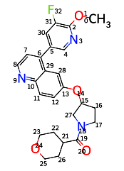 COc1ncc(-c2ccnc3ccc(OC4CCN(C(=O)C5CCOCC5)C4)cc23)cc1F